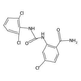 NC(=O)c1ccc(Cl)cc1NC(=O)Nc1c(Cl)cccc1Cl